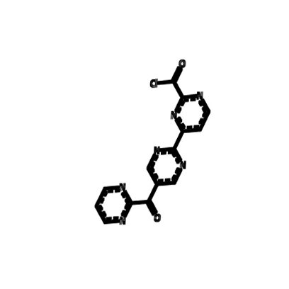 O=C(Cl)c1nccc(-c2ncc(C(=O)c3ncccn3)cn2)n1